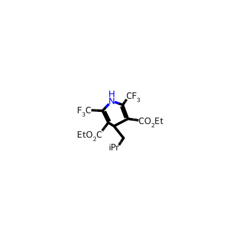 CCOC(=O)C1=C(C(F)(F)F)NC(C(F)(F)F)=C(C(=O)OCC)C1CC(C)C